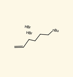 Br.Br.C=CCCCCCCCC